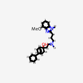 COc1cccc2c1nc(CCCN(C)CCC1(O)CC3CCC1C=C3c1ccccc1)n2C